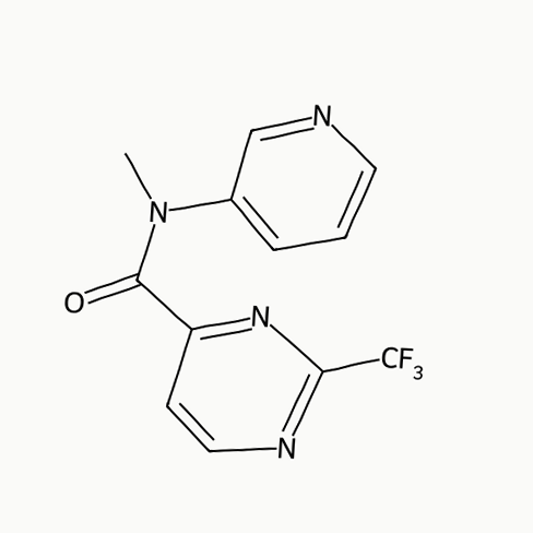 CN(C(=O)c1ccnc(C(F)(F)F)n1)c1cccnc1